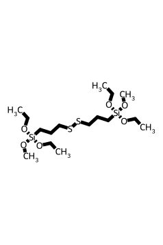 CCO[Si](CCCSSCCC[Si](OC)(OCC)OCC)(OC)OCC